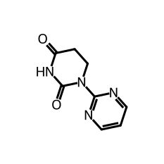 O=C1CCN(c2ncccn2)C(=O)N1